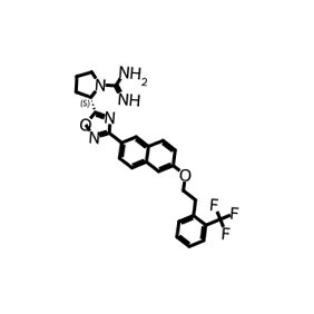 N=C(N)N1CCC[C@H]1c1nc(-c2ccc3cc(OCCc4ccccc4C(F)(F)F)ccc3c2)no1